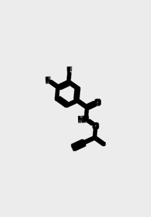 C#CC(C)ONC(=O)c1ccc(F)c(F)c1